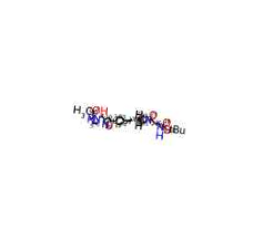 C[C@H](O)c1nccn1Cc1cc(-c2ccc(C#C[C@@H]3[C@H]4CN(C(=O)CCNC(=O)OC(C)(C)C)C[C@@H]34)cc2)on1